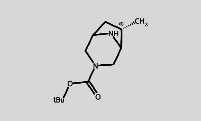 C[C@H]1CC2CN(C(=O)OC(C)(C)C)CC1N2